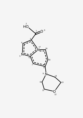 O=C(O)c1cnc2cc(N3CCOCC3)ccn12